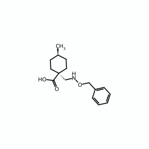 C[C@H]1CC[C@@](CNOCc2ccccc2)(C(=O)O)CC1